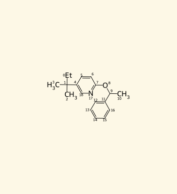 CCC(C)(C)c1ccc(OC(C)c2ccccc2)nc1